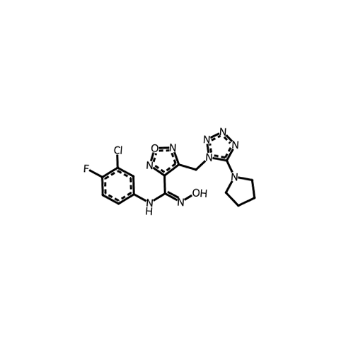 O/N=C(/Nc1ccc(F)c(Cl)c1)c1nonc1Cn1nnnc1N1CCCC1